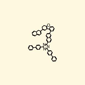 C1=CC2=CC=C(C3=Cc4c(oc5cccc(-c6ccc7cc(-c8nc(-c9ccc(-c%10ccccc%10)cc9)nc(-c9ccc(-c%10ccccc%10)cc9)n8)ccc7c6)c45)CC3)CC2C=C1